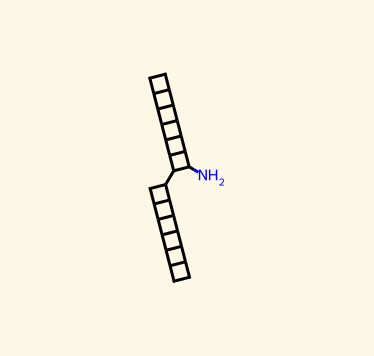 NC1C(C2CC3C2C2C3C3C4C5CCC5C4C23)C2C1C1C3C4C5CCC5C4C3C21